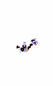 O=C1CCN(CCCCCS(=O)(=O)NC2(c3ccc(F)c(OCC4CC4)c3)CCNCC2)C(=O)N1